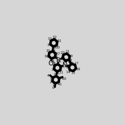 Cc1cc(C)c(-c2cc3c4c(c2)-n2c5ccccc5c5cccc(c52)B4c2cc(-c4ccccc4)ccc2O3)c(C)c1